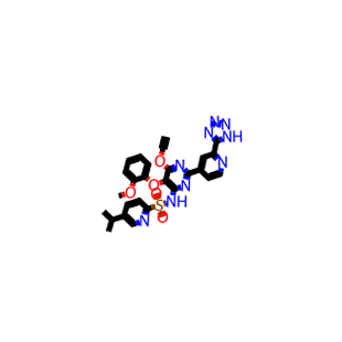 C#COc1nc(-c2ccnc(-c3nnn[nH]3)c2)nc(NS(=O)(=O)c2ccc(C(C)C)cn2)c1Oc1ccccc1OC